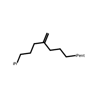 C=C(CCCC(C)C)CCCC(C)CCC